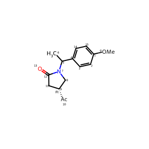 COc1ccc(C(C)N2C[C@H](C(C)=O)CC2=O)cc1